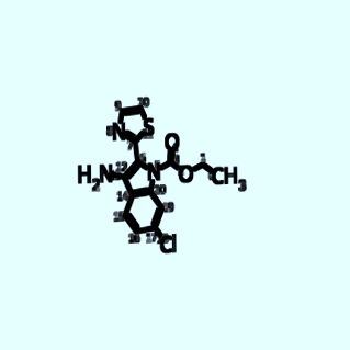 CCOC(=O)n1c(-c2nccs2)c(N)c2ccc(Cl)cc21